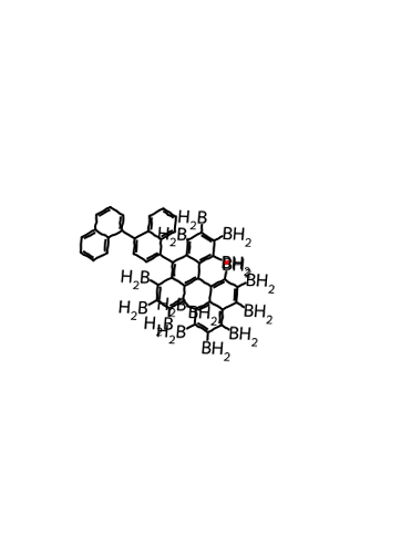 Bc1c(B)c(B)c2c(-c3c4c(B)c(B)c(B)c(B)c4c(-c4ccc(-c5cccc6ccccc56)c5ccccc45)c4c(B)c(B)c(B)c(B)c34)c(B)c(B)c(B)c2c1B